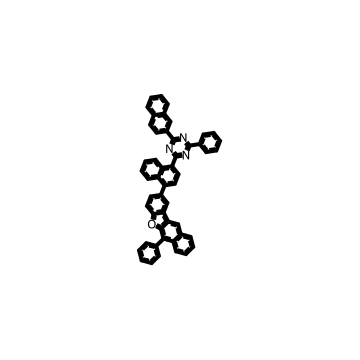 c1ccc(-c2nc(-c3ccc4ccccc4c3)nc(-c3ccc(-c4ccc5oc6c(-c7ccccc7)c7ccccc7cc6c5c4)c4ccccc34)n2)cc1